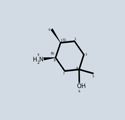 C[C@H]1CCC(C)(O)C[C@H]1N